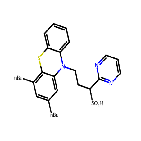 CCCCc1cc(CCCC)c2c(c1)N(CCC(c1ncccn1)S(=O)(=O)O)c1ccccc1S2